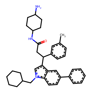 Cc1cccc(C(CC(=O)NC2CCC(N)CC2)c2cn(CC3CCCCC3)c3ccc(-c4ccccc4)cc23)c1